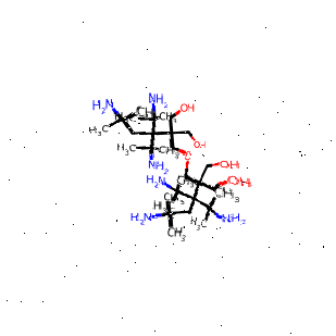 CC(C)(N)CC(C(C)(C)N)(C(C)(C)N)C(CO)(CO)COCC(CO)(CO)C(CC(C)(C)N)(C(C)(C)N)C(C)(C)N